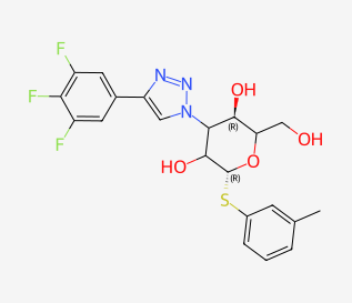 Cc1cccc(S[C@H]2OC(CO)[C@H](O)C(n3cc(-c4cc(F)c(F)c(F)c4)nn3)C2O)c1